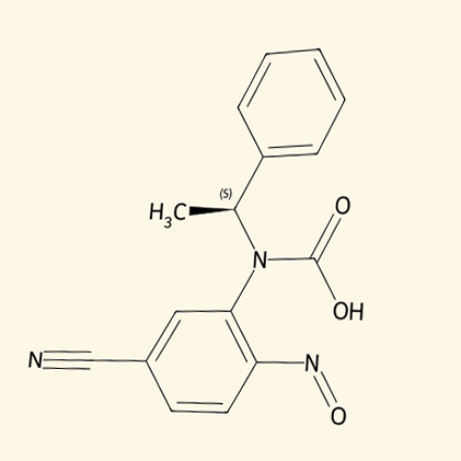 C[C@@H](c1ccccc1)N(C(=O)O)c1cc(C#N)ccc1N=O